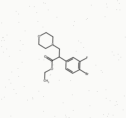 CCOC(=O)C(CN1CCOCC1)c1ccc(Br)c(F)c1